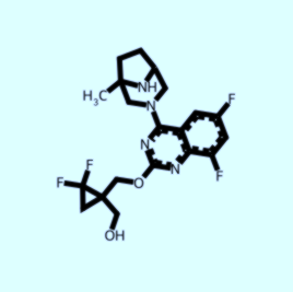 CC12CCC(CN(c3nc(OCC4(CO)CC4(F)F)nc4c(F)cc(F)cc34)C1)N2